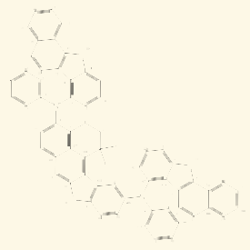 CC1(C)CCc2c(N(c3ccccc3)c3cccc4oc5c6ccccc6ccc5c34)ccc3cc4oc5ccc(N(c6ccccc6)c6cccc7oc8c9ccccc9ccc8c67)cc5c4c1c23